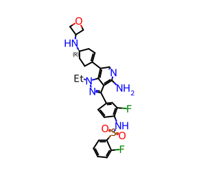 CCn1nc(-c2ccc(NS(=O)(=O)c3ccccc3F)c(F)c2)c2c(N)ncc(C3=CC[C@H](NC4COC4)CC3)c21